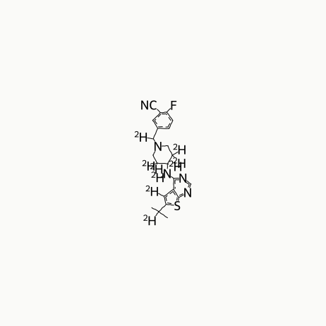 [2H]c1c(C([2H])(C)C)sc2ncnc(N([2H])C3([2H])C([2H])([2H])CN(C([2H])c4ccc(F)c(C#N)c4)CC3([2H])[2H])c12